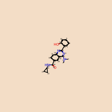 CN(C)c1nc(-c2ccccc2O)nc2ccc(C(=O)NC3CC3)cc12